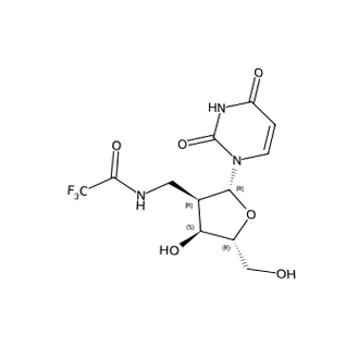 O=C(NC[C@@H]1[C@H](O)[C@@H](CO)O[C@H]1n1ccc(=O)[nH]c1=O)C(F)(F)F